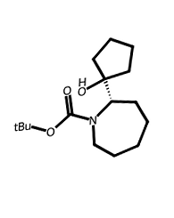 CC(C)(C)OC(=O)N1CCCCC[C@H]1C1(O)CCCC1